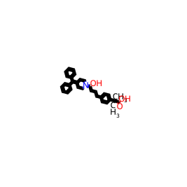 CC(C)(C(=O)O)c1ccc(CCCC(O)N2CCC(=C(c3ccccc3)c3ccccc3)CC2)cc1